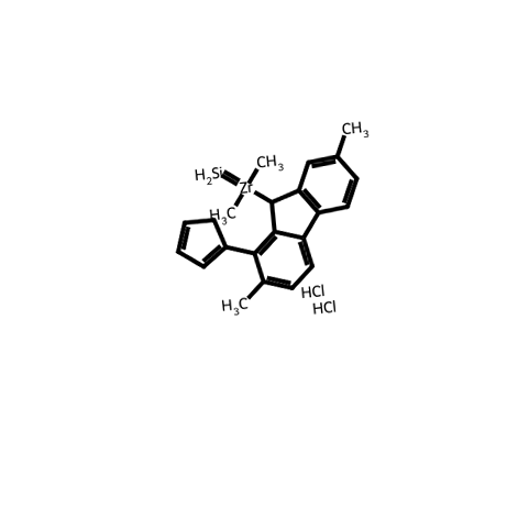 Cc1ccc2c(c1)[CH]([Zr]([CH3])([CH3])=[SiH2])c1c-2ccc(C)c1C1=CC=CC1.Cl.Cl